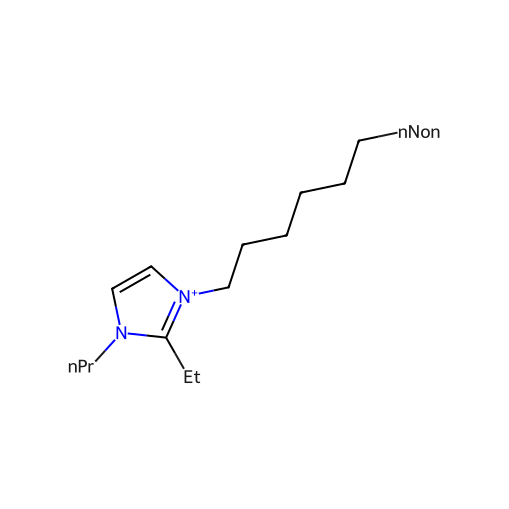 CCCCCCCCCCCCCCC[n+]1ccn(CCC)c1CC